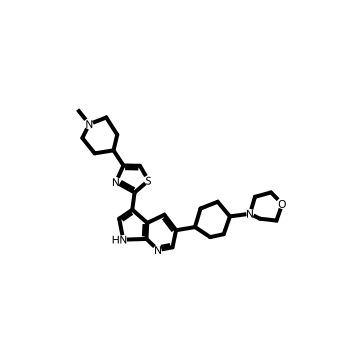 CN1CCC(c2csc(-c3c[nH]c4ncc(C5CCC(N6CCOCC6)CC5)cc34)n2)CC1